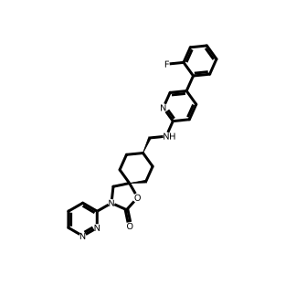 O=C1O[C@]2(CC[C@H](CNc3ccc(-c4ccccc4F)cn3)CC2)CN1c1cccnn1